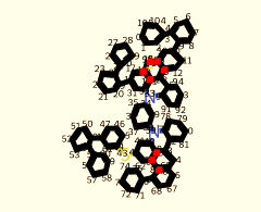 c1ccc(-c2ccccc2-c2cccc(Sc3cc(-c4ccccc4-c4ccccc4)cc(N(c4cccc(N(c5cc(Sc6cccc(-c7ccccc7-c7ccccc7)c6)cc(-c6ccccc6-c6ccccc6)c5)c5ccccc5-c5ccccc5)c4)c4ccccc4-c4ccccc4)c3)c2)cc1